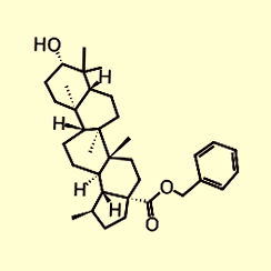 C[C@@H]1CC[C@]2(C(=O)OCc3ccccc3)CC[C@]3(C)[C@H](CC[C@@H]4[C@@]5(C)CC[C@H](O)C(C)(C)[C@@H]5CC[C@]43C)[C@@H]12